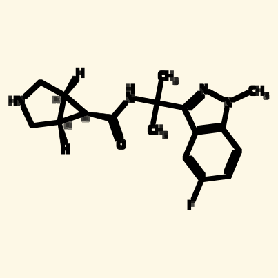 Cn1nc(C(C)(C)NC(=O)[C@H]2[C@@H]3CNC[C@@H]32)c2cc(F)ccc21